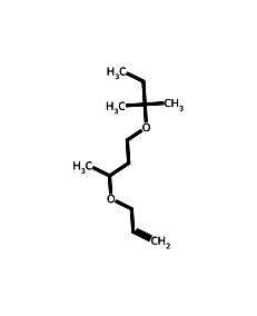 C=CCOC(C)CCOC(C)(C)CC